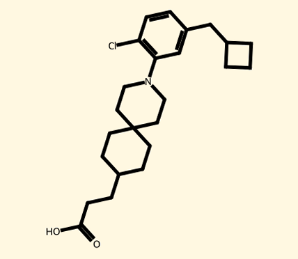 O=C(O)CCC1CCC2(CC1)CCN(c1cc(CC3CCC3)ccc1Cl)CC2